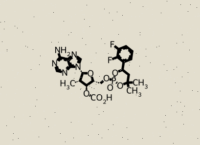 C[C@H]1[C@H](OC(=O)O)[C@@H](COP2(=O)OC(c3cccc(F)c3F)CC(C)(C)O2)O[C@H]1n1cnc2c(N)ncnc21